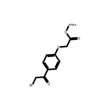 CCCCCCOC(=O)COc1ccc(C(=O)CBr)cc1